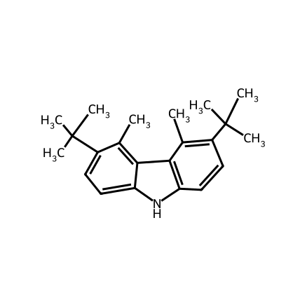 Cc1c(C(C)(C)C)ccc2[nH]c3ccc(C(C)(C)C)c(C)c3c12